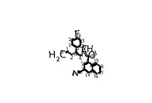 C=CC[C@H](CN(C)C(=O)c1cc(C#N)cc2ccccc12)c1ccc(F)cc1